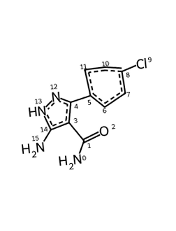 NC(=O)c1c(-c2ccc(Cl)cc2)n[nH]c1N